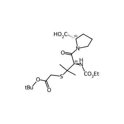 CCOC(=O)N[C@H](C(=O)N1CCC[C@H]1C(=O)O)C(C)(C)SCC(=O)OC(C)(C)C